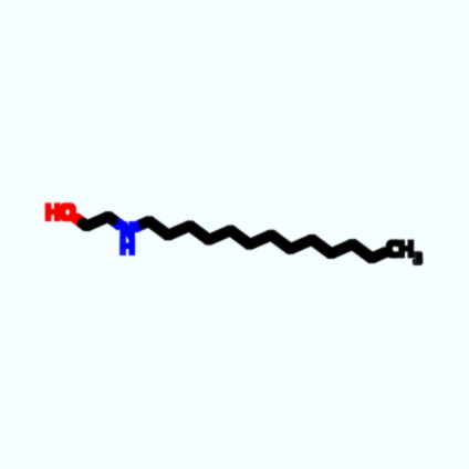 CCCCCCCCCCCCCNCCO